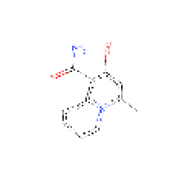 Cc1cc(=O)c(C(N)=O)c2ccccn12